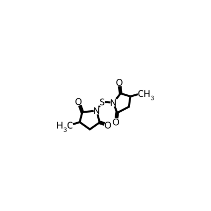 CC1CC(=O)N(SN2C(=O)CC(C)C2=O)C1=O